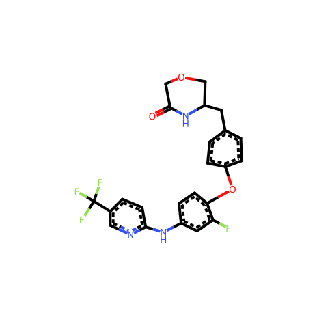 O=C1COCC(Cc2ccc(Oc3ccc(Nc4ccc(C(F)(F)F)cn4)cc3F)cc2)N1